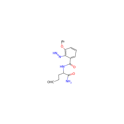 CC(C)Oc1cccc(C(=O)NC(CCC=O)C(N)=O)c1N=N